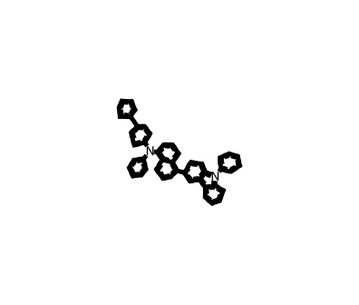 c1ccc(-c2ccc(N(c3ccccc3)c3cccc4c(-c5ccc6c(c5)c5ccccc5n6-c5ccccc5)cccc34)cc2)cc1